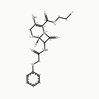 O=C(COc1ccccc1)NC1C(=O)N2C(C(=O)OCCI)=C(O)CS[C@@H]12